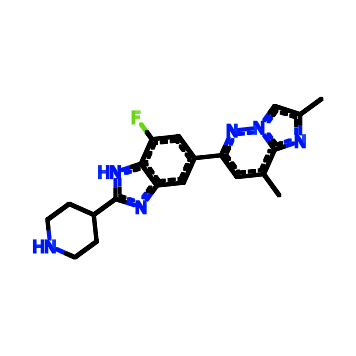 Cc1cn2nc(-c3cc(F)c4[nH]c(C5CCNCC5)nc4c3)cc(C)c2n1